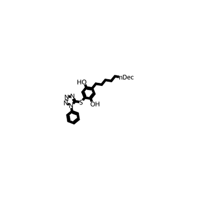 CCCCCCCCCCCCCCCc1cc(O)c(Sc2nnnn2-c2ccccc2)cc1O